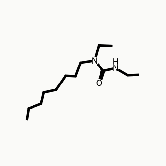 CCCCCCCCN(CC)C(=O)NCC